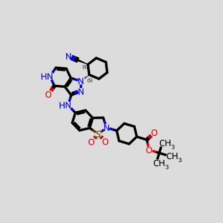 CC(C)(C)OC(=O)C1CCC(N2Cc3cc(Nc4nn([C@H]5CCCC[C@@H]5C#N)c5cc[nH]c(=O)c45)ccc3S2(=O)=O)CC1